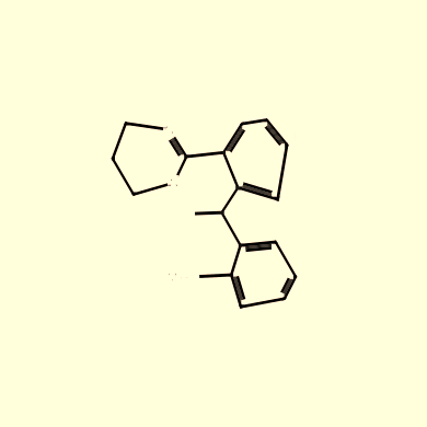 COc1ccccc1C(S)c1ccccc1C1=NCCCN1.Cl